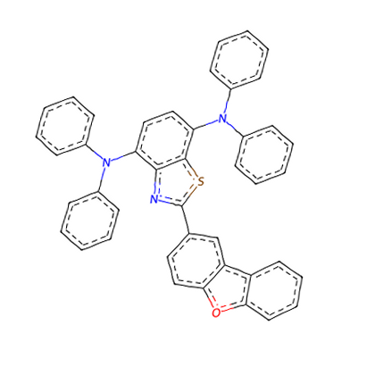 c1ccc(N(c2ccccc2)c2ccc(N(c3ccccc3)c3ccccc3)c3sc(-c4ccc5oc6ccccc6c5c4)nc23)cc1